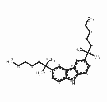 CCCCCC(C)(C)c1c[c]c2[nH]c3ccc(C(C)(C)CCCCC)cc3c2c1